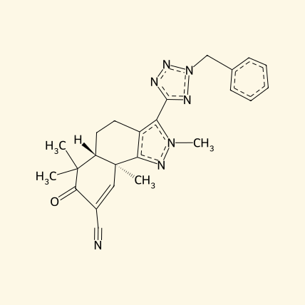 Cn1nc2c(c1-c1nnn(Cc3ccccc3)n1)CC[C@H]1C(C)(C)C(=O)C(C#N)=C[C@]21C